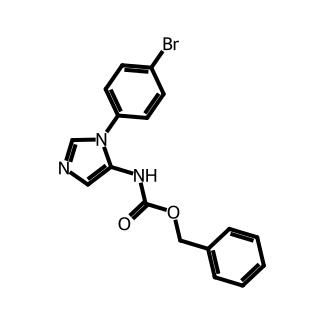 O=C(Nc1cncn1-c1ccc(Br)cc1)OCc1ccccc1